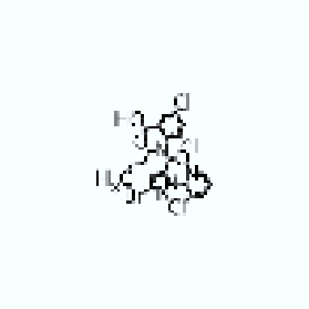 CCCCN(C(=O)c1cc(Br)nn1-c1ncccc1Cl)c1c(Cl)cc(Cl)cc1C(=O)O